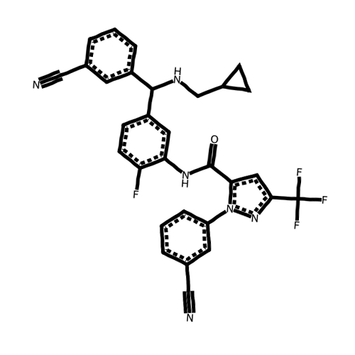 N#Cc1cccc(C(NCC2CC2)c2ccc(F)c(NC(=O)c3cc(C(F)(F)F)nn3-c3cccc(C#N)c3)c2)c1